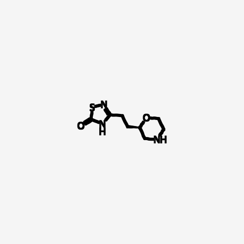 O=c1[nH]c(CC[C@@H]2CNCCO2)ns1